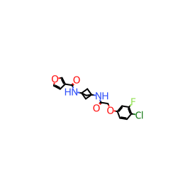 O=C(COc1ccc(Cl)c(F)c1)NC12CC(NC(=O)c3ccoc3)(C1)C2